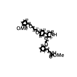 COC(=O)NCCc1ccccc1OCCO[C@H]1CNCC[C@@H]1c1ccc(OCCCOCc2ccccc2OC)cc1